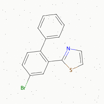 Brc1ccc(-c2ccccc2)c(-c2nccs2)c1